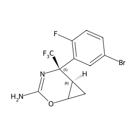 NC1=N[C@@](c2cc(Br)ccc2F)(C(F)(F)F)[C@H]2CC2O1